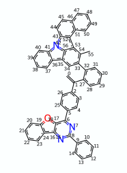 C=C(c1ccc(-c2nc(-c3ccccc3)nc3c2oc2ccccc23)cc1)c1ccccc1-c1cc2c3ccccc3n3c4ccc5ccccc5c4c(c1C)c23